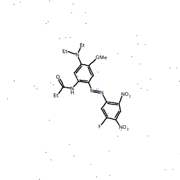 CCC(=O)Nc1cc(N(CC)CC)c(OC)cc1/N=N/c1cc(F)c([N+](=O)[O-])cc1[N+](=O)[O-]